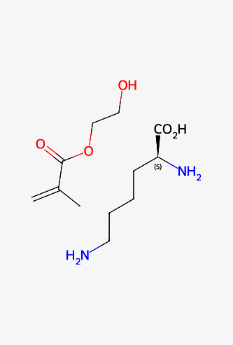 C=C(C)C(=O)OCCO.NCCCC[C@H](N)C(=O)O